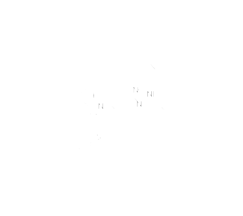 c1ccc(C2=NC(c3ccc(-n4c5ccccc5c5cc6c(cc54)sc4ccccc46)cc3)=NC(c3ccccc3)N2)cc1